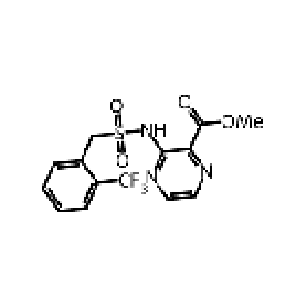 COC(=O)c1nccnc1NS(=O)(=O)Cc1ccccc1C(F)(F)F